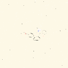 COC1(c2ccccc2C(CN(C)C)C2(O)CCCCC2)C=CC(C(=O)O)C=C1